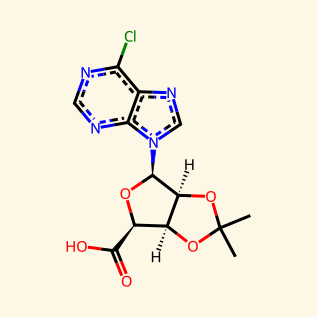 CC1(C)O[C@@H]2[C@H](O1)[C@H](n1cnc3c(Cl)ncnc31)O[C@@H]2C(=O)O